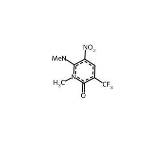 CNc1c([N+](=O)[O-])cc(C(F)(F)F)c(=O)n1C